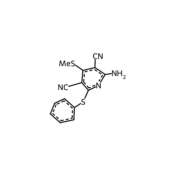 CSc1c(C#N)c(N)nc(Sc2ccccc2)c1C#N